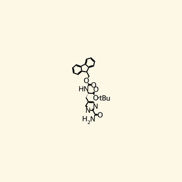 CC(C)(C)OC(=O)[C@H](Cc1cnc(C(N)=O)nc1)NC(=O)OCC1c2ccccc2-c2ccccc21